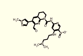 CN(C)CCCNc1cc(NC(=O)N2CCCc3cc(-c4cnn(C)c4)c(C=O)nc32)ncc1[N+](=O)[O-]